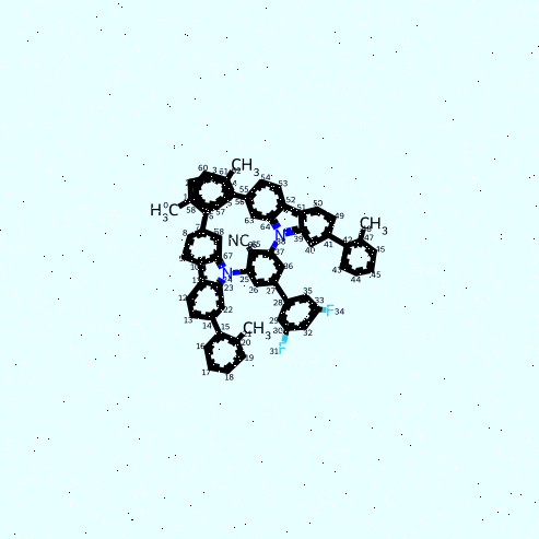 Cc1ccccc1-c1ccc2c3ccc(-c4ccccc4C)cc3n(-c3cc(-c4cc(F)cc(F)c4)cc(-n4c5cc(-c6ccccc6C)ccc5c5ccc(-c6ccccc6C)cc54)c3C#N)c2c1